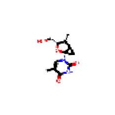 Cc1cn([C@@]23CC2[C@H](C)[C@@H](CO)O3)c(=O)[nH]c1=O